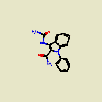 NC(=O)Nc1c(C(N)=O)n(-c2ccccc2)c2ccccc12